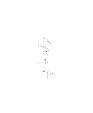 CNS(=O)(=O)c1ccccc1OCCC(O)N[C@H]1COC2(CCN(S(=O)(=O)c3cnc4ccccc4c3O)CC2)C1